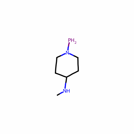 CNC1CCN(P)CC1